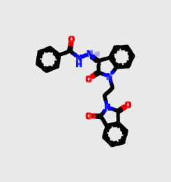 O=C(N/N=C1\C(=O)N(CCN2C(=O)c3ccccc3C2=O)c2ccccc21)c1ccccc1